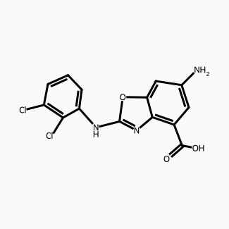 Nc1cc(C(=O)O)c2nc(Nc3cccc(Cl)c3Cl)oc2c1